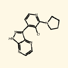 Clc1c(-c2n[nH]c3nccnc23)ccnc1N1CCCC1